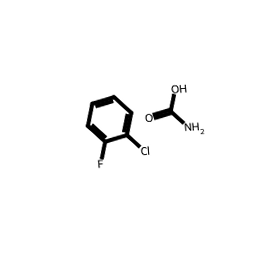 Fc1ccccc1Cl.NC(=O)O